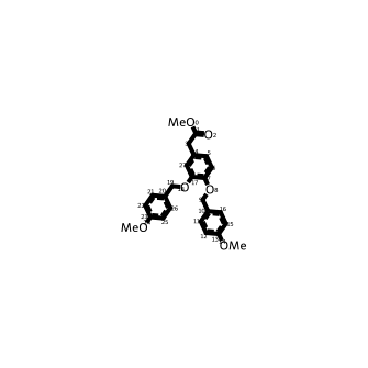 COC(=O)Cc1ccc(OCc2ccc(OC)cc2)c(OCc2ccc(OC)cc2)c1